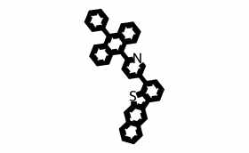 c1ccc(-c2c3ccccc3c(-c3ccc(-c4cccc5c4sc4cc6ccccc6cc45)cn3)c3ccccc23)cc1